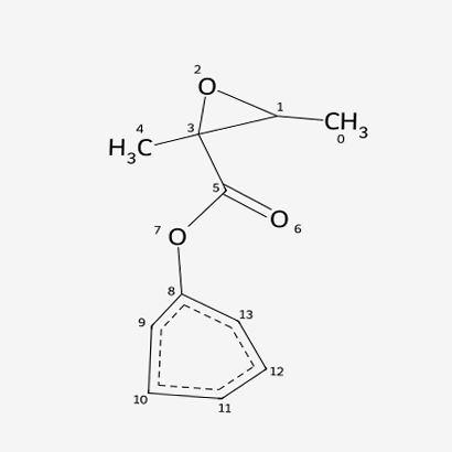 CC1OC1(C)C(=O)Oc1ccccc1